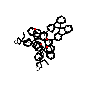 CCC1(COc2ccc(C3(c4ccccc4)c4ccccc4-c4ccc(N(c5ccccc5)c5ccc6c(c5)C5(c7ccccc7-6)c6ccccc6-c6ccc(N(c7ccccc7)c7ccc8c(c7)C(c7ccccc7)(c7ccc(OCC9(CC)COC9)cc7)c7ccccc7-8)cc65)cc43)cc2)COC1